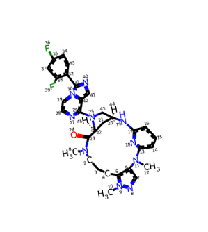 CN1CCCc2c(cnn2C)N(C)c2cccc(n2)N[C@H]2C[C@@H](C1=O)N(c1nccn3c(-c4ccc(F)cc4F)ncc13)C2